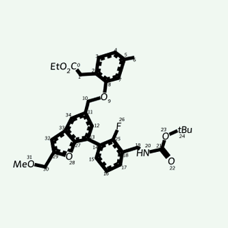 CCOC(=O)Cc1ccc(C)cc1OCc1cc(-c2cccc(CNC(=O)OC(C)(C)C)c2F)c2oc(COC)cc2c1